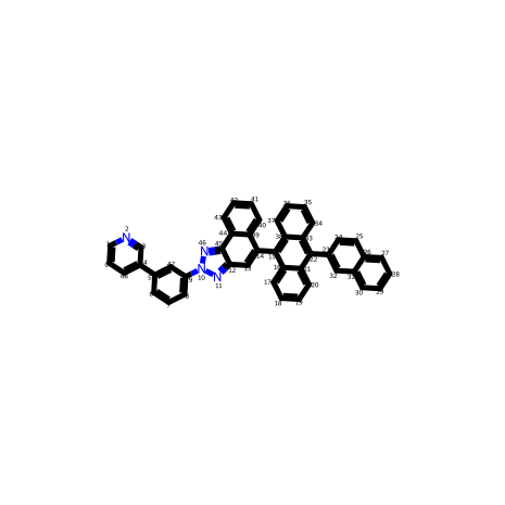 c1cncc(-c2cccc(-n3nc4cc(-c5c6ccccc6c(-c6ccc7ccccc7c6)c6ccccc56)c5ccccc5c4n3)c2)c1